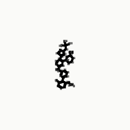 COc1cccc(F)c1-c1nccc(Nc2cc(N3CCC[C@H](O)C3)c(-c3cnn(CC(F)(F)F)c3)cn2)n1